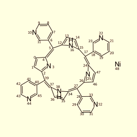 C1=Cc2nc1c(-c1cccnc1)c1ccc([nH]1)c(-c1cccnc1)c1nc(c(-c3cccnc3)c3ccc([nH]3)c2-c2cccnc2)C=C1.[Ni]